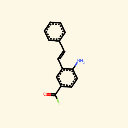 Nc1ccc(C(=O)F)cc1C=Cc1ccccc1